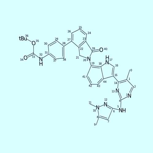 Cc1cnc(Nc2cc(C)n(C)n2)nc1-c1c[nH]c2c(N3Cc4c(cccc4-c4ccc(NC(=O)OC(C)(C)C)cc4)C3=O)cccc12